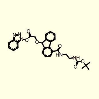 CC(C)(C)OC(=O)NCCNC(=O)c1cccc2c1-c1ccccc1C2OCC(=O)On1nnc2ccccc21